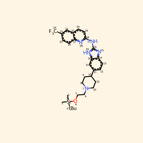 CC(C)(C)[Si](C)(C)OCCN1CCC(c2ccc3nc(Nc4ccc5cc(C(F)(F)F)ccc5n4)[nH]c3c2)CC1